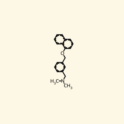 CN(C)Cc1cccc(COc2cccc3ccccc23)c1